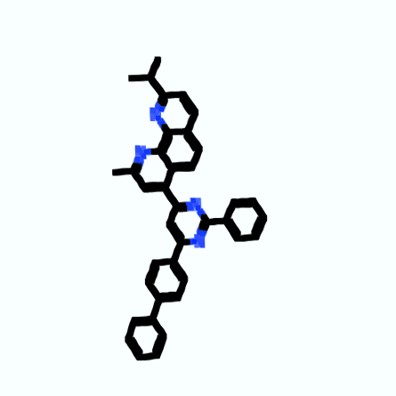 Cc1cc(-c2cc(-c3ccc(-c4ccccc4)cc3)nc(-c3ccccc3)n2)c2ccc3ccc(C(C)C)nc3c2n1